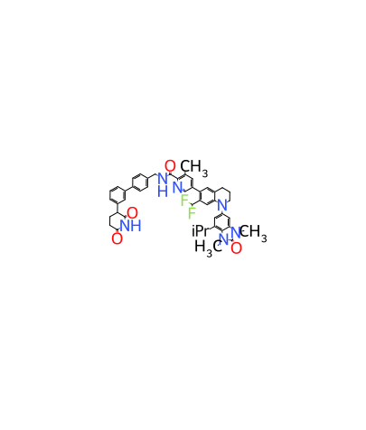 Cc1cc(-c2cc3c(cc2C(F)F)N(c2cc(C(C)C)c4c(c2)n(C)c(=O)n4C)CCC3)cnc1C(=O)NCc1ccc(-c2cccc(C3CCC(=O)NC3=O)c2)cc1